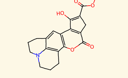 COC(=O)C1=C(O)c2c(c(=O)oc3c4c5c(cc23)CCCN5CCC4)C1